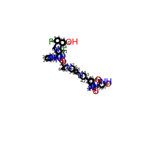 C#Cc1c(F)ccc2cc(O)cc(-c3ncc4c(N5CC6CCC(C5)N6)nc(OCC5(CN6CCC7(CC6)CC(N6CCC(c8ccc9c(c8)n(C)c(=O)n9C8CCC(=O)NC8=O)CC6)C7)CC5)nc4c3F)c12